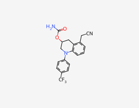 N#CCc1cccc2c1CC(OC(N)=O)CN2c1ccc(C(F)(F)F)cc1